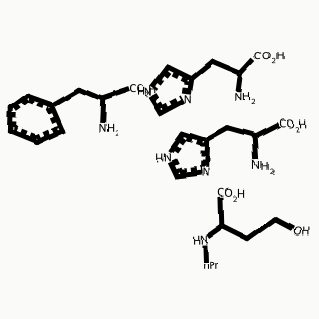 CCCNC(CCO)C(=O)O.NC(Cc1c[nH]cn1)C(=O)O.NC(Cc1c[nH]cn1)C(=O)O.NC(Cc1ccccc1)C(=O)O